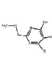 COCc1nc(O)c(I)c(Cl)n1